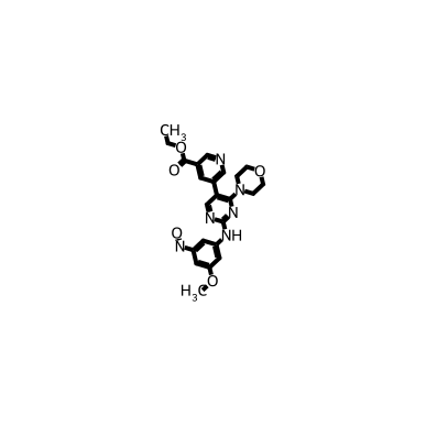 CCOC(=O)c1cncc(-c2cnc(Nc3cc(N=O)cc(OC)c3)nc2N2CCOCC2)c1